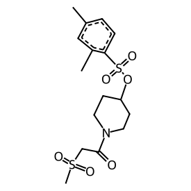 Cc1ccc(S(=O)(=O)OC2CCN(C(=O)CS(C)(=O)=O)CC2)c(C)c1